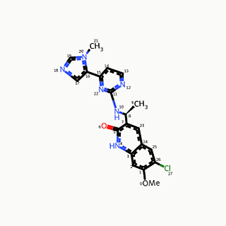 COc1cc2[nH]c(=O)c([C@H](C)Nc3nccc(-c4cncn4C)n3)cc2cc1Cl